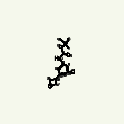 CC(C)(C)OC(=O)Nc1cc(Cl)cc(C2COC2)c1